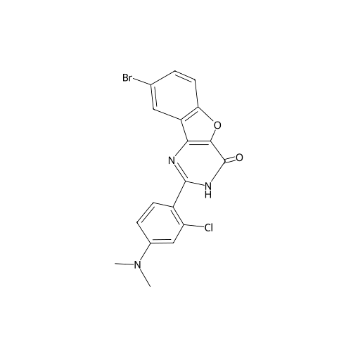 CN(C)c1ccc(-c2nc3c(oc4ccc(Br)cc43)c(=O)[nH]2)c(Cl)c1